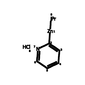 C[CH](C)[Zn][c]1ccccn1.Cl